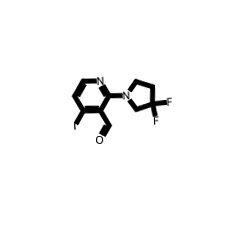 O=Cc1c(I)ccnc1N1CCC(F)(F)C1